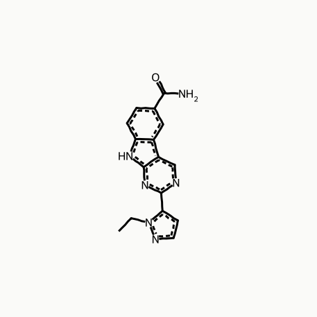 CCn1nccc1-c1ncc2c(n1)[nH]c1ccc(C(N)=O)cc12